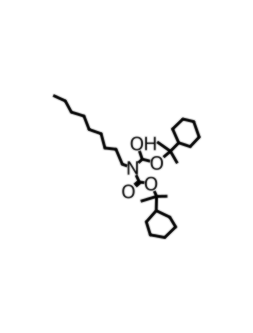 CCCCCCCCCN(C(=O)OC(C)(C)C1CCCCC1)C(O)OC(C)(C)C1CCCCC1